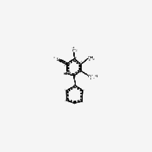 CCOC(=O)c1c(-c2ccccc2)[nH]c(=S)c(C#N)c1C